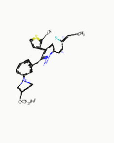 C/C=C(F)\C=C/c1cc(-c2ccsc2C#N)c(-c2cccc(N3CC(C(=O)O)C3)c2)[nH]1